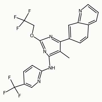 Cc1c(Nc2ccc(C(F)(F)F)cn2)nc(OCC(F)(F)F)nc1-c1ccc2cccnc2c1